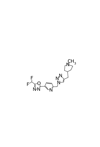 CN1CCC(Cc2cn(Cc3ccc(-c4nnc(C(F)F)o4)cn3)nn2)CC1